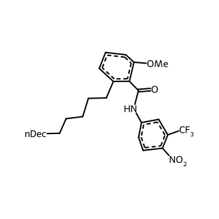 CCCCCCCCCCCCCCCc1cccc(OC)c1C(=O)Nc1ccc([N+](=O)[O-])c(C(F)(F)F)c1